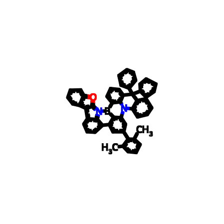 Cc1cccc(C)c1-c1cc2c3c(c1)N1c4ccccc4C(c4ccccc4)(c4ccccc4)c4cccc(c41)B3n1c3oc4ccccc4c3c3cccc-2c31